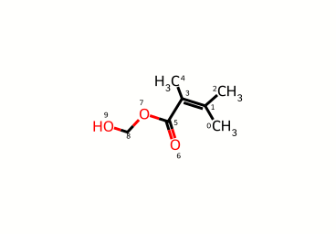 CC(C)=C(C)C(=O)OCO